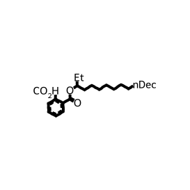 CCCCCCCCCCCCCCCCCC(CC)OC(=O)c1ccccc1C(=O)O